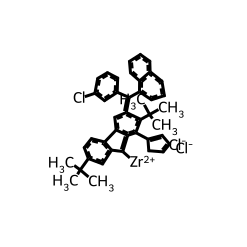 CC(C)(C)c1ccc2c(c1)[C]([Zr+2])=c1c-2cc(=C(c2cccc(Cl)c2)c2cccc3ccccc23)c(C(C)(C)C)c1C1=CC=CC1.[Cl-].[Cl-]